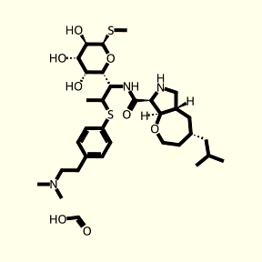 CS[C@H]1O[C@H](C(NC(=O)[C@H]2NC[C@@H]3C[C@H](CC(C)C)CCO[C@H]32)C(C)Sc2ccc(CCN(C)C)cc2)[C@H](O)[C@H](O)[C@H]1O.O=CO